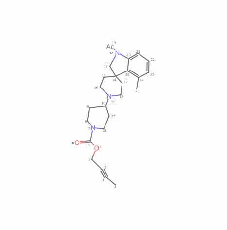 CC#CCOC(=O)N1CCC(N2CCC3(CC2)CN(C(C)=O)c2cccc(C)c23)CC1